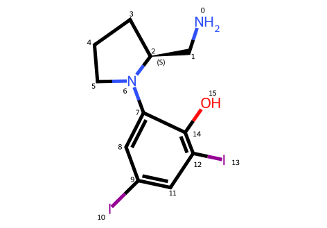 NC[C@@H]1CCCN1c1cc(I)cc(I)c1O